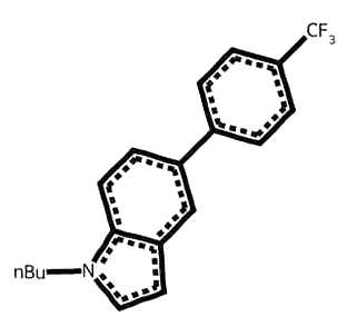 CCCCn1ccc2cc(-c3ccc(C(F)(F)F)cc3)ccc21